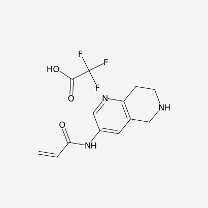 C=CC(=O)Nc1cnc2c(c1)CNCC2.O=C(O)C(F)(F)F